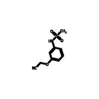 CS(=O)(=O)Nc1cccc(OCC#N)c1